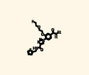 CCNC(=O)c1ccc(-n2cc(C(=O)NCc3cccs3)nn2)c(OCCOCCF)c1